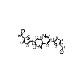 O=Cc1ccc(-c2cnc3cc(-c4ccc(C=O)s4)cnc3c2)s1